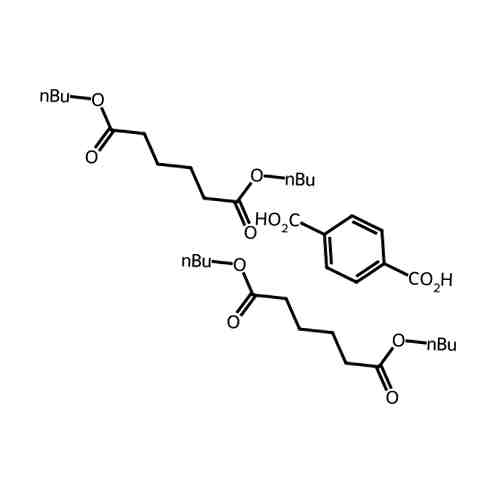 CCCCOC(=O)CCCCC(=O)OCCCC.CCCCOC(=O)CCCCC(=O)OCCCC.O=C(O)c1ccc(C(=O)O)cc1